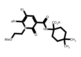 CCCc1c(CC)cc(C(=O)NC2(C(=O)O)CCC(C)(C)CC2)c(=O)n1CCOC